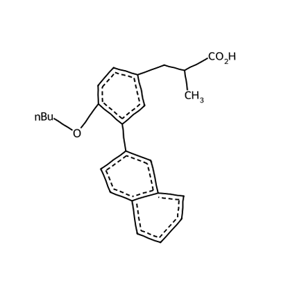 CCCCOc1ccc(CC(C)C(=O)O)cc1-c1ccc2ccccc2c1